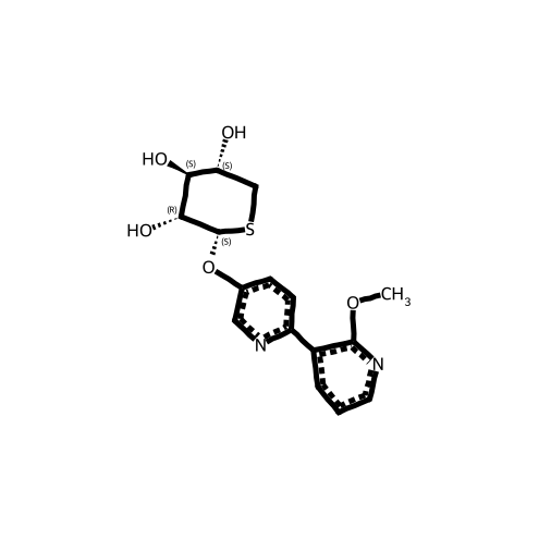 COc1ncccc1-c1ccc(O[C@H]2SC[C@@H](O)[C@H](O)[C@H]2O)cn1